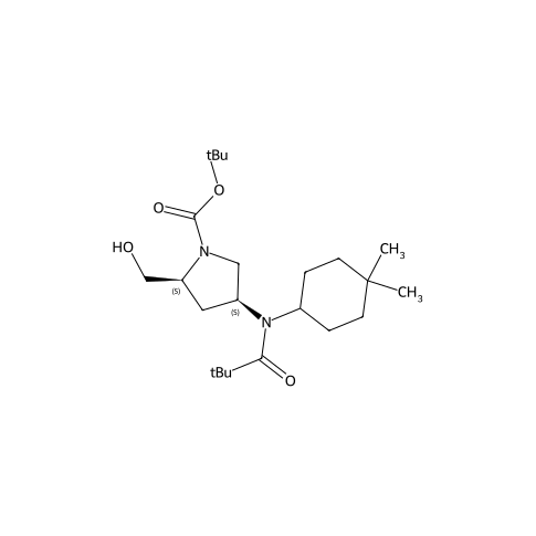 CC1(C)CCC(N(C(=O)C(C)(C)C)[C@H]2C[C@@H](CO)N(C(=O)OC(C)(C)C)C2)CC1